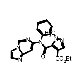 CCOC(=O)c1cnn(C)c1C(=O)N(c1ccccc1)c1cc2nccn2cn1